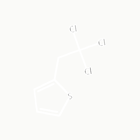 ClC(Cl)(Cl)Cc1cccs1